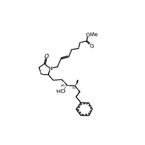 COC(=O)CCCC=CCN1C(=O)CCC1CC[C@@H](O)[C@@H](C)CCc1ccccc1